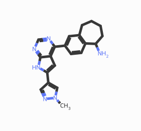 Cn1cc(-c2cc3c(-c4ccc5c(c4)CCCCC5N)ncnc3[nH]2)cn1